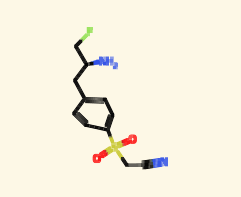 N#CCS(=O)(=O)c1ccc(C[C@H](N)CF)cc1